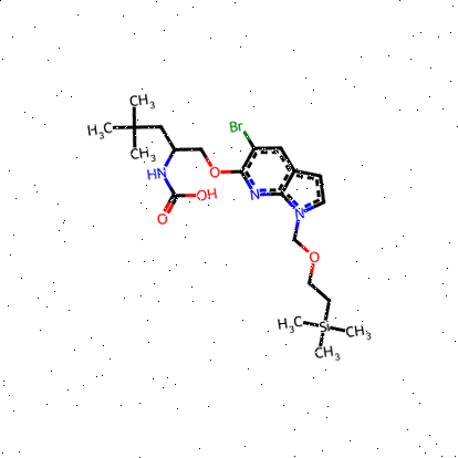 CC(C)(C)CC(COc1nc2c(ccn2COCC[Si](C)(C)C)cc1Br)NC(=O)O